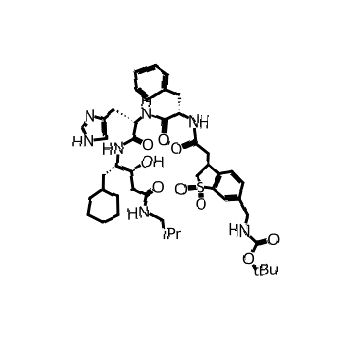 CC(C)CNC(=O)C[C@H](O)[C@H](CC1CCCCC1)NC(=O)[C@H](Cc1c[nH]cn1)NC(=O)[C@H](Cc1ccccc1)NC(=O)CC1CS(=O)(=O)c2cc(CNC(=O)OC(C)(C)C)ccc21